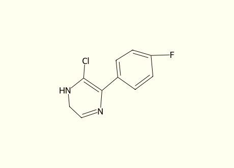 Fc1ccc(C2=C(Cl)NCC=N2)cc1